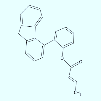 CC=CC(=O)Oc1ccccc1-c1cccc2c1-c1ccccc1C2